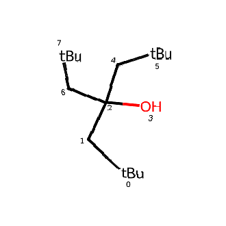 CC(C)(C)CC(O)(CC(C)(C)C)CC(C)(C)C